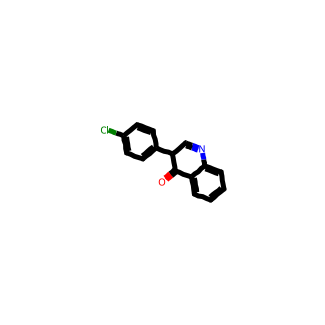 O=C1c2ccccc2N=CC1c1ccc(Cl)cc1